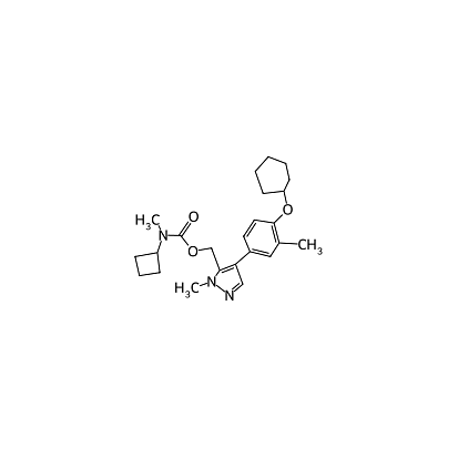 Cc1cc(-c2cnn(C)c2COC(=O)N(C)C2CCC2)ccc1OC1CCCCC1